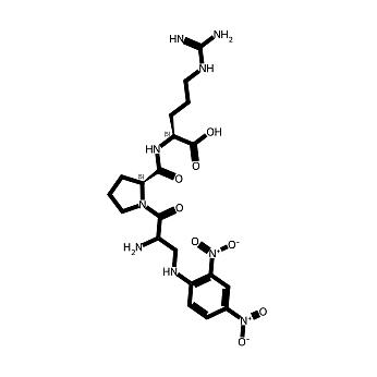 N=C(N)NCCC[C@H](NC(=O)[C@@H]1CCCN1C(=O)C(N)CNc1ccc([N+](=O)[O-])cc1[N+](=O)[O-])C(=O)O